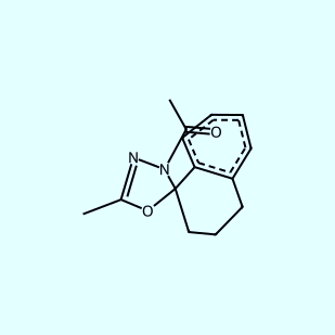 CC(=O)N1N=C(C)OC12CCCc1ccccc12